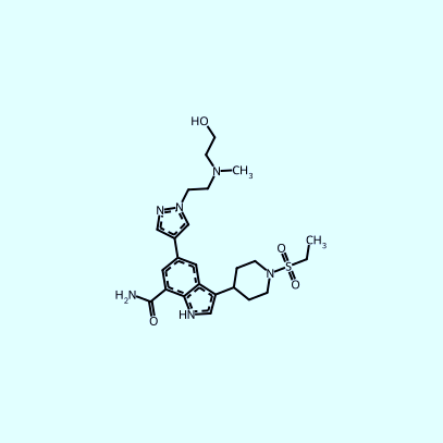 CCS(=O)(=O)N1CCC(c2c[nH]c3c(C(N)=O)cc(-c4cnn(CCN(C)CCO)c4)cc23)CC1